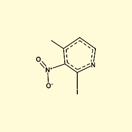 Cc1ccnc(I)c1[N+](=O)[O-]